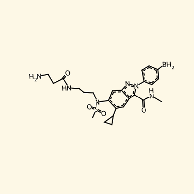 Bc1ccc(-n2nc3cc(N(CCCNC(=O)CCN)S(C)(=O)=O)c(C4CC4)cc3c2C(=O)NC)cc1